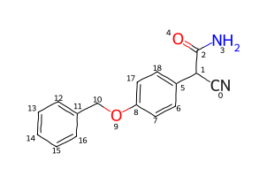 N#CC(C(N)=O)c1ccc(OCc2ccccc2)cc1